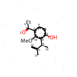 [CH2]CC(=O)c1ccc(O)c([C@@H](C)C(=C)C)c1OC